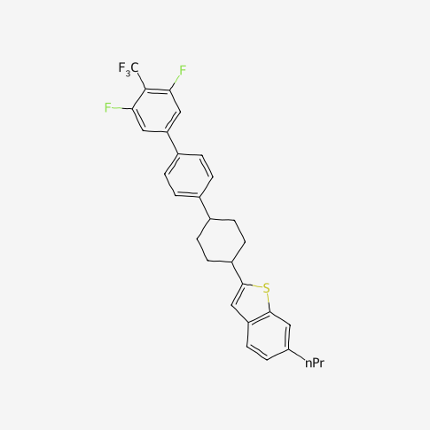 CCCc1ccc2cc(C3CCC(c4ccc(-c5cc(F)c(C(F)(F)F)c(F)c5)cc4)CC3)sc2c1